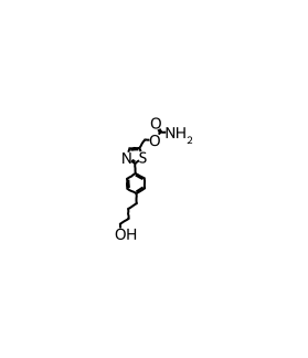 NC(=O)OCc1cnc(-c2ccc(CCCCO)cc2)s1